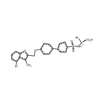 CCc1cccc2oc(COc3ccc(-c4ccc(S(=O)(=O)N[C@H](C(=O)O)C(C)C)cc4)cc3)c(C)c12